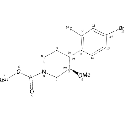 CO[C@H]1CN(C(=O)OC(C)(C)C)CC[C@@H]1c1ccc(Br)cc1F